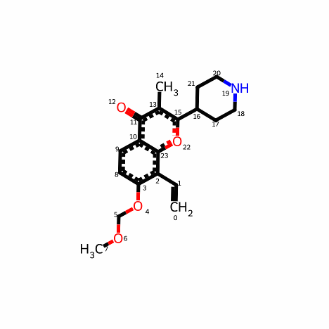 C=Cc1c(OCOC)ccc2c(=O)c(C)c(C3CCNCC3)oc12